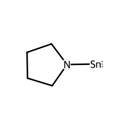 [Sn][N]1CCCC1